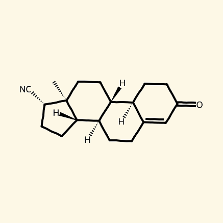 C[C@]12CC[C@H]3[C@@H](CCC4=CC(=O)CC[C@@H]43)[C@@H]1CC[C@@H]2C#N